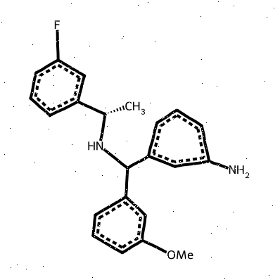 COc1cccc(C(N[C@@H](C)c2cccc(F)c2)c2cccc(N)c2)c1